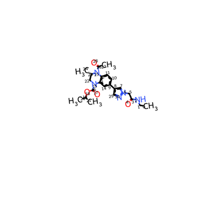 CCNC(=O)Cn1cc(-c2ccc3c(c2)N(C(=O)OC(C)C)C[C@H](C)N3C(C)=O)cn1